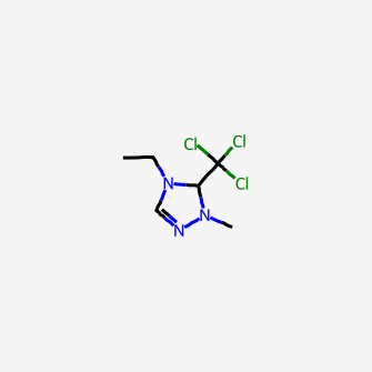 CCN1C=NN(C)C1C(Cl)(Cl)Cl